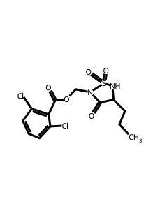 CCCC1NS(=O)(=O)N(COC(=O)c2c(Cl)cccc2Cl)C1=O